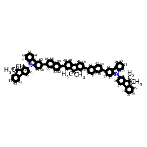 CC1(C)c2cc(-c3ccc4cc(-c5ccc6c(c5)c5ccccc5n6-c5ccc6c(c5)C(C)(C)c5ccccc5-6)ccc4c3)ccc2-c2ccc(-c3ccc4cc(-c5ccc6c(c5)c5ccccc5n6-c5ccc6c(c5)C(C)(C)c5ccccc5-6)ccc4c3)cc21